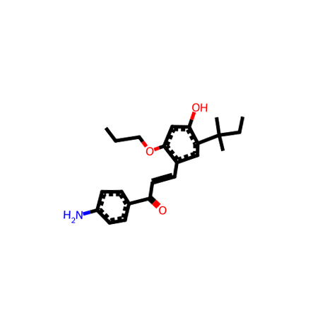 CCCOc1cc(O)c(C(C)(C)CC)cc1C=CC(=O)c1ccc(N)cc1